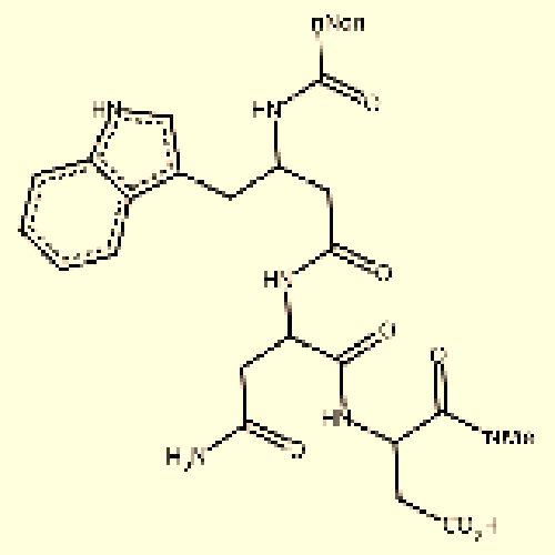 CCCCCCCCCC(=O)NC(CC(=O)NC(CC(N)=O)C(=O)NC(CC(=O)O)C(=O)NC)Cc1c[nH]c2ccccc12